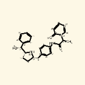 CC(C(=O)Nc1ccc(C[C@@H]2CC[C@H]([C@H](O)c3ccccc3)N2)cc1)n1cnccc1=O